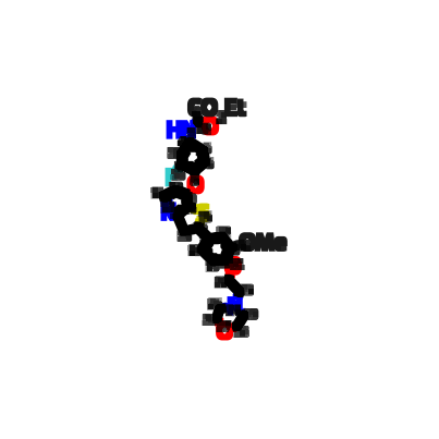 CCOC(=O)C(=O)Nc1ccc(Oc2ccnc3c2SC(c2ccc(OCCN4CCOCC4)c(OC)c2)C3)c(F)c1